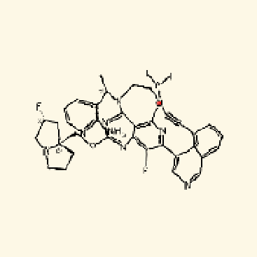 C[C@H](c1cccnc1N)N1CCOc2nc(-c3cncc4cccc(C#CSP(I)I)c34)c(F)c3nc(OC[C@@]45CCCN4C[C@H](F)C5)nc1c23